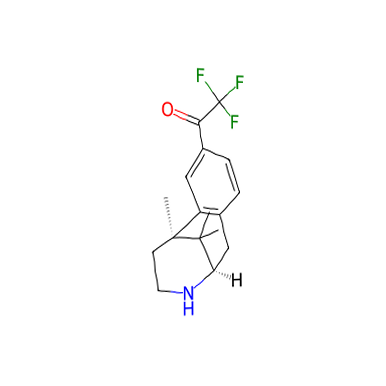 CC1(C)[C@H]2Cc3ccc(C(=O)C(F)(F)F)cc3[C@]1(C)CCN2